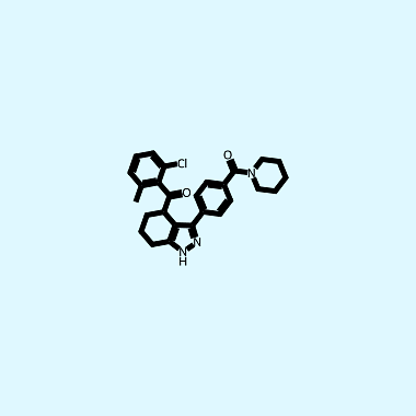 Cc1cccc(Cl)c1C(=O)C1CCCc2[nH]nc(-c3ccc(C(=O)N4CCCCC4)cc3)c21